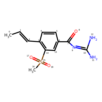 CC=Cc1ccc(C(=O)N=C(N)N)cc1S(C)(=O)=O